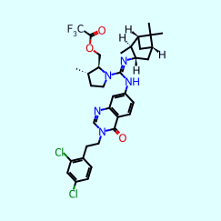 C[C@@H]1[C@@H](N=C(Nc2ccc3c(=O)n(CCc4ccc(Cl)cc4Cl)cnc3c2)N2CC[C@H](C)[C@H]2COC(=O)C(F)(F)F)C[C@@H]2C[C@H]1C2(C)C